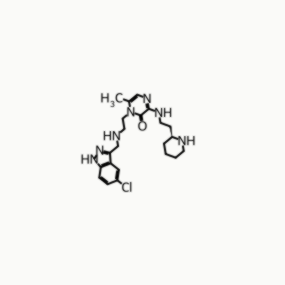 Cc1cnc(NCC[C@@H]2CCCCN2)c(=O)n1CCNCc1n[nH]c2ccc(Cl)cc12